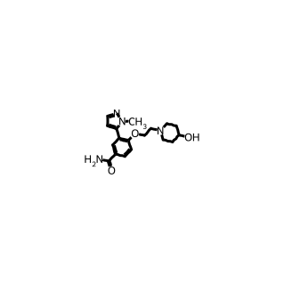 Cn1nccc1-c1cc(C(N)=O)ccc1OCCN1CCC(O)CC1